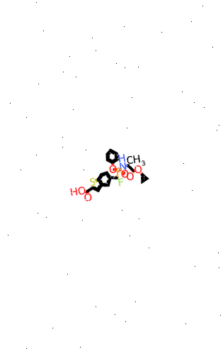 C[C@H](NP(=O)(Oc1ccccc1)[C@@H](F)c1ccc2sc(C(=O)O)cc2c1)C(=O)OC1CC1